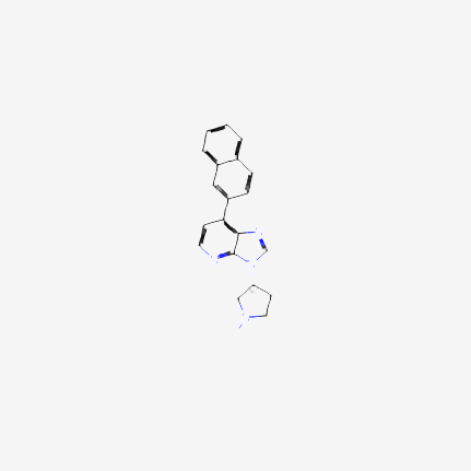 O=C(O)N1CC[C@@H](n2cnc3c(-c4ccc5ccccc5c4)ccnc32)C1